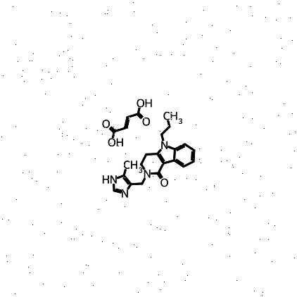 CCCn1c2c(c3ccccc31)C(=O)N(Cc1nc[nH]c1C)CC2.O=C(O)C=CC(=O)O